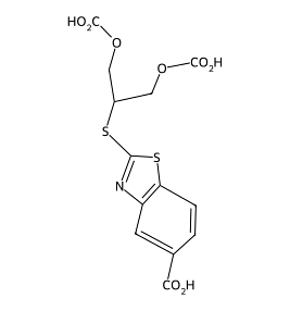 O=C(O)OCC(COC(=O)O)Sc1nc2cc(C(=O)O)ccc2s1